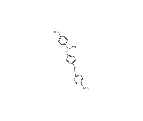 N#C/C(=C\c1ccc(/C=C/c2ccc([N+](=O)[O-])cc2)cc1)c1ccc([N+](=O)[O-])cc1